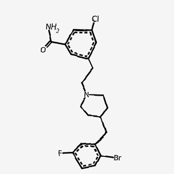 NC(=O)c1cc(Cl)cc(CCN2CCC(Cc3cc(F)ccc3Br)CC2)c1